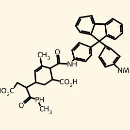 CNc1ccc(C2(c3ccc(NC(=O)C4C(C)=CC(C(CC(=O)O)C(=O)PC)CC4C(=O)O)cc3)c3ccccc3-c3ccccc32)cc1